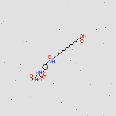 CC(=O)CC[C@H](NC(=O)C1CCC(CNC(=O)CCCCCCCCCCCCCCC(=O)O)CC1)C(=O)O